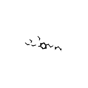 CCOc1cc(CCNC(=O)CC#N)ccc1OCCN(CC)CC